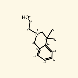 CC1(C)CN(CCO)[CH]c2ccccc21